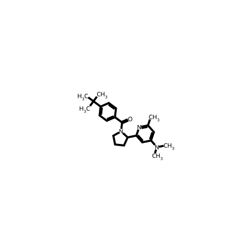 Cc1cc(N(C)C)cc(C2CCCN2C(=O)c2ccc(C(C)(C)C)cc2)n1